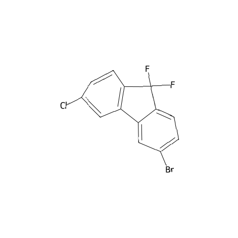 FC1(F)c2ccc(Cl)cc2-c2cc(Br)ccc21